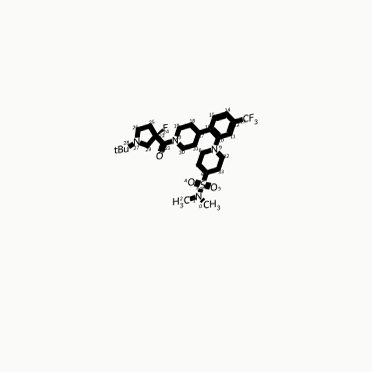 CN(C)S(=O)(=O)C1CCN(c2cc(C(F)(F)F)ccc2C2CCN(C(=O)[C@@]3(F)CCN(C(C)(C)C)C3)CC2)CC1